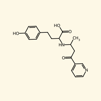 CC(CC(=O)c1cccnc1)NC(CCc1ccc(O)cc1)C(=O)O